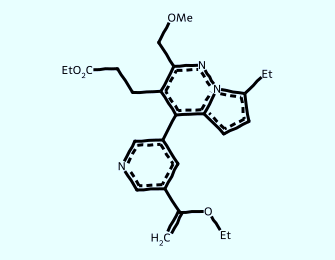 C=C(OCC)c1cncc(-c2c(CCC(=O)OCC)c(COC)nn3c(CC)ccc23)c1